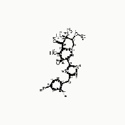 CCO[C@H]1Cn2cc(-c3nnc(Cc4ccc(F)cc4F)s3)c(=O)c(O)c2C(=O)C1(C)C